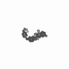 NCC1CCN(Cc2ccc3[nH]c(-c4cc5cc(Br)ccc5[nH]c4=O)cc3c2)CC1